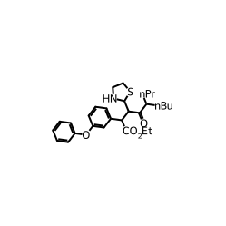 CCCCC(CCC)C(=O)C(C1NCCS1)C(C(=O)OCC)c1cccc(Oc2ccccc2)c1